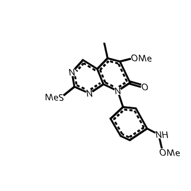 CONc1cccc(-n2c(=O)c(OC)c(C)c3cnc(SC)nc32)c1